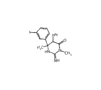 CCCC1C(=O)N(C)C(=N)NC1(C)c1cccc(I)c1